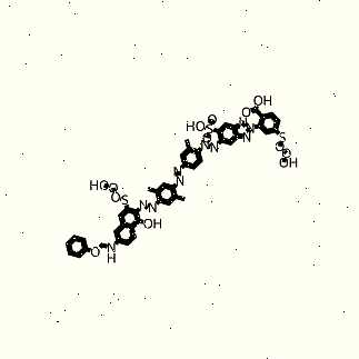 Cc1cc(N=Nc2c(SOOO)cc3cc(NCOc4ccccc4)ccc3c2O)c(C)cc1N=Nc1ccc(N=Nc2cc3nn(-c4cc(SOOO)ccc4C(=O)O)nc3cc2S(=O)(=O)O)c(C)c1